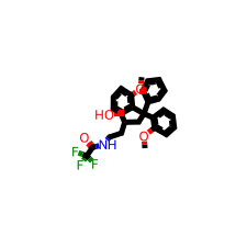 COc1ccccc1C(CC(CO)CCNC(=O)C(F)(F)F)(c1ccccc1)c1ccccc1OC